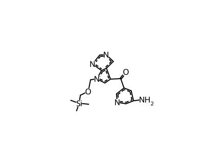 C[Si](C)(C)COCn1cc(C(=O)c2cncc(N)c2)c2cncnc21